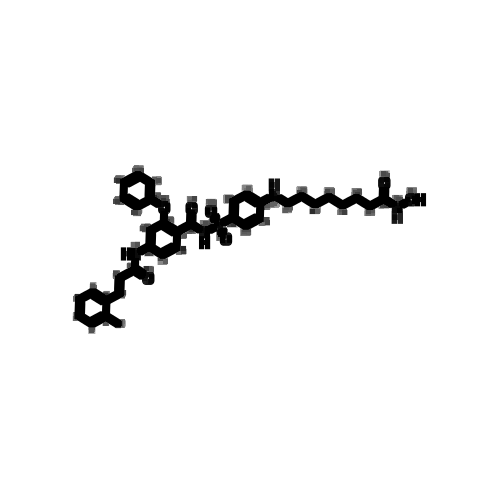 Cc1ccccc1C=CC(=O)Nc1ccc(C(=O)NS(=O)(=O)c2ccc(NCCCCCCCC(=O)NO)cc2)c(Oc2ccccc2)c1